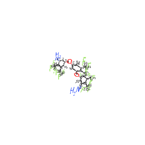 Nc1cc(Oc2cc(Oc3cc(N)c(C(F)(F)F)c(C(F)(F)F)c3)c(C(F)(F)F)c(C(F)(F)F)c2)cc(C(F)(F)F)c1C(F)(F)F